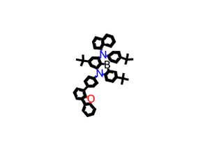 CC(C)(C)c1ccc2c(c1)B1c3cc(C(C)(C)C)ccc3N(c3cccc4ccccc34)c3cc(C(C)(C)C)cc(c31)N2c1ccc(-c2cccc3c2oc2ccccc23)cc1